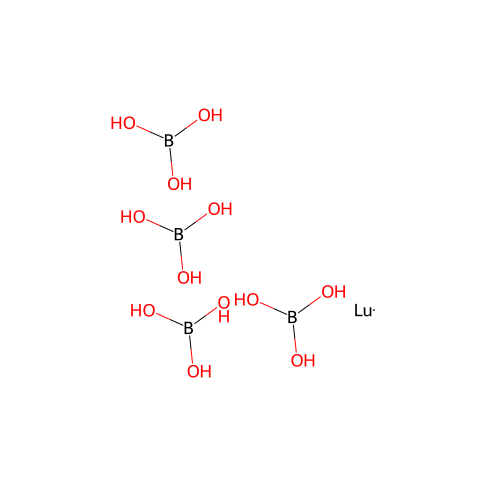 OB(O)O.OB(O)O.OB(O)O.OB(O)O.[Lu]